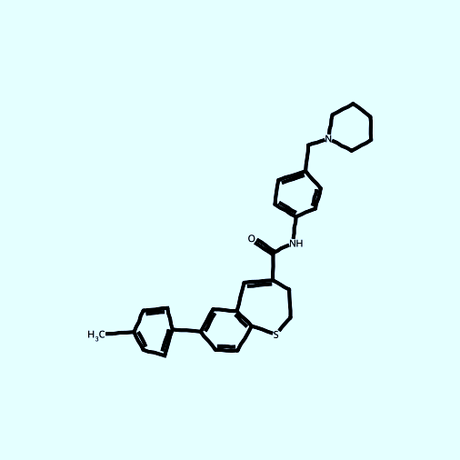 Cc1ccc(-c2ccc3c(c2)C=C(C(=O)Nc2ccc(CN4CCCCC4)cc2)CCS3)cc1